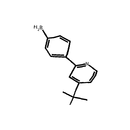 Bc1ccc(-c2cc(C(C)(C)C)ccn2)cc1